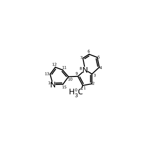 Cc1cc2ccccn2c1-c1cccnc1